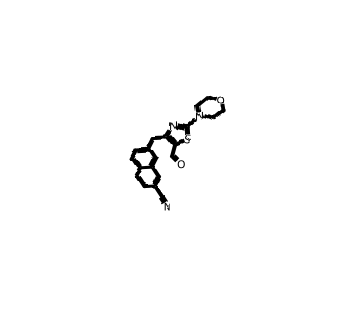 N#Cc1ccc2ccc(Cc3nc(N4CCOCC4)sc3C=O)cc2c1